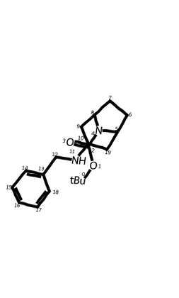 CC(C)(C)OC(=O)N1C2CCC1CC(NCc1ccccc1)C2